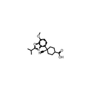 COc1ccc(C2(C#N)CCC(C(=O)O)CC2)c2nc(C(C)C)oc12